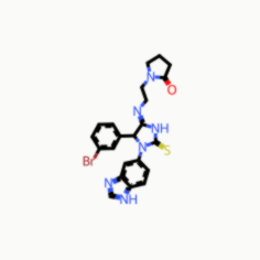 O=C1CCCN1CC/N=C1\NC(=S)N(c2ccc3[nH]cnc3c2)C1c1cccc(Br)c1